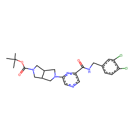 CC(C)(C)OC(=O)N1CC2CN(c3cncc(C(=O)NCc4ccc(Cl)c(Cl)c4)n3)CC2C1